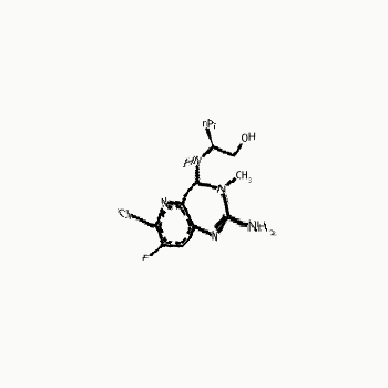 CCC[C@@H](CO)NC1c2nc(Cl)c(F)cc2N=C(N)N1C